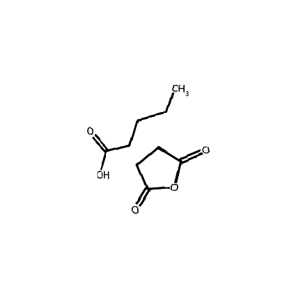 CCCCC(=O)O.O=C1CCC(=O)O1